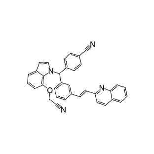 N#CCOc1cccc2ccn(C(c3ccc(C#N)cc3)c3cccc(/C=C/c4ccc5ccccc5n4)c3)c12